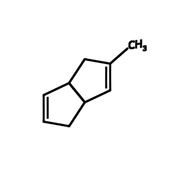 CC1=CC2CC=CC2C1